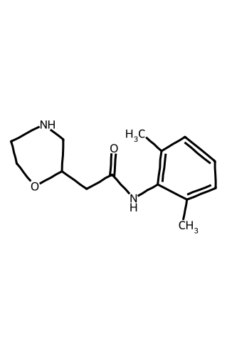 Cc1cccc(C)c1NC(=O)CC1CNCCO1